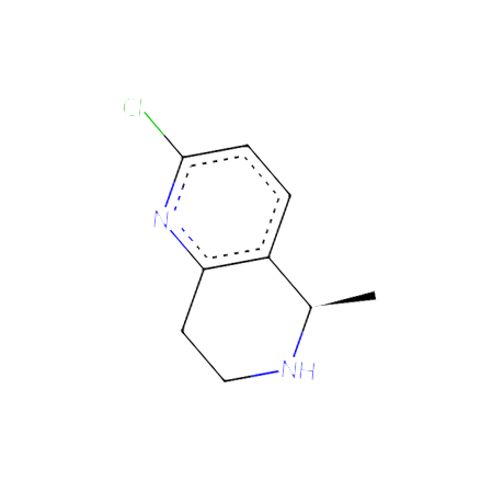 C[C@H]1NCCc2nc(Cl)ccc21